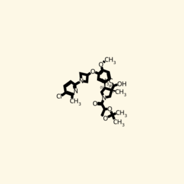 COc1ccc([C@@H]2CN(C(=O)C3COC(C)(C)O3)C[C@@]2(C)[C@@H](C)O)cc1OC1CN(c2ccc(Cl)c(C)n2)C1